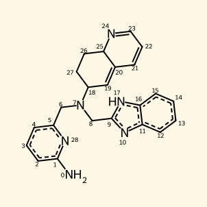 Nc1cccc(CN(Cc2nc3ccccc3[nH]2)C2C=C3C=CC=NC3CC2)n1